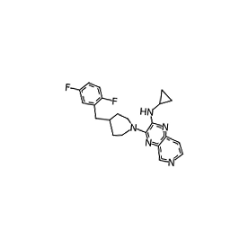 Fc1ccc(F)c(CC2CCN(c3nc4cnccc4nc3NC3CC3)CC2)c1